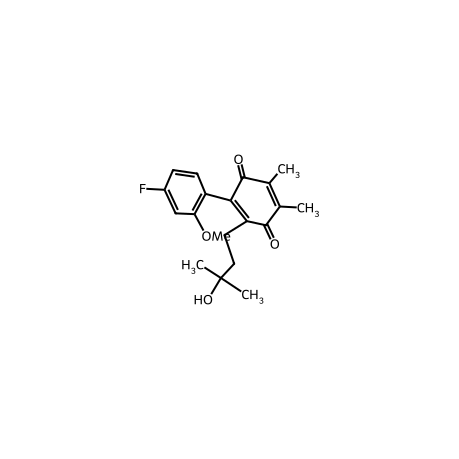 COc1cc(F)ccc1C1=C(CCC(C)(C)O)C(=O)C(C)=C(C)C1=O